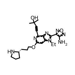 CCn1c(-c2nonc2N)nc2c(C#CC(C)(C)O)nc(OCCC[C@@H]3CCCN3)cc21